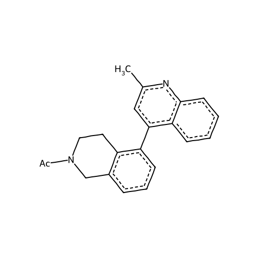 CC(=O)N1CCc2c(cccc2-c2cc(C)nc3ccccc23)C1